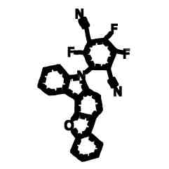 N#Cc1c(F)c(F)c(C#N)c(-n2c3ccccc3c3c4oc5ccccc5c4ccc32)c1F